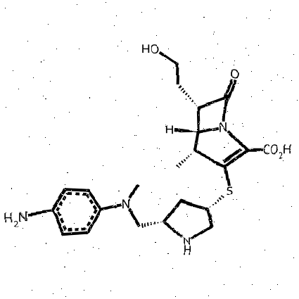 C[C@H]1C(S[C@@H]2CN[C@H](CN(C)c3ccc(N)cc3)C2)=C(C(=O)O)N2C(=O)[C@@H](CCO)[C@@H]12